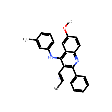 CCOc1ccc2nc(-c3ccccc3)c(/C=C/C(C)=O)c(Nc3cccc(C(F)(F)F)c3)c2c1